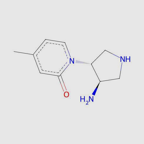 Cc1ccn([C@@H]2CNC[C@H]2N)c(=O)c1